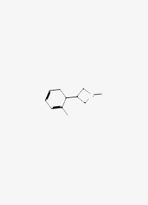 CC1=CC=CCC1C1CN(I)C1